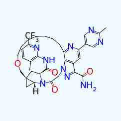 Cc1ncc(-c2cc3c(C(N)=O)nn4c3c(n2)CCCCCCCOC[C@@]23C[C@@H](C(=O)Nc5nc(C(F)(F)F)ccc5C)N(C(=O)C4)[C@@H]2C3)cn1